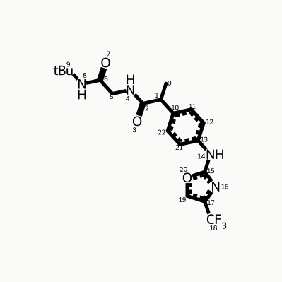 CC(C(=O)NCC(=O)NC(C)(C)C)c1ccc(Nc2nc(C(F)(F)F)co2)cc1